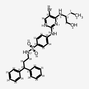 CC[C@H](CO)Nc1nc(Nc2ccc(S(=O)(=O)NCCC(c3ccccc3)c3ccccc3)cc2)ncc1Br